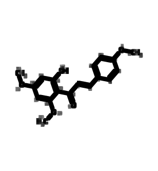 COc1ccc(C=CC(=O)c2c(O)cc(OC)cc2OC)cc1